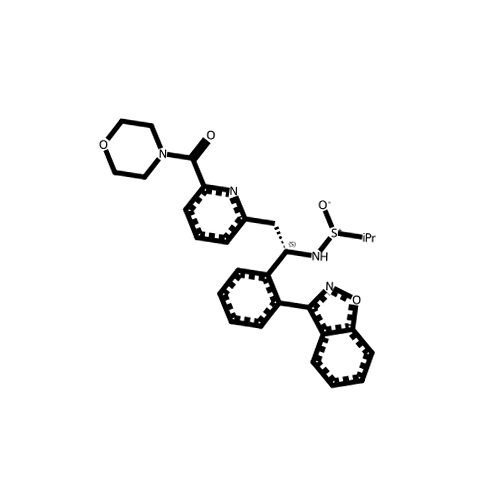 CC(C)[S+]([O-])N[C@@H](Cc1cccc(C(=O)N2CCOCC2)n1)c1ccccc1-c1noc2ccccc12